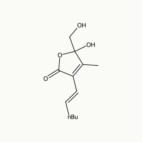 CCCCC=CC1=C(C)C(O)(CO)OC1=O